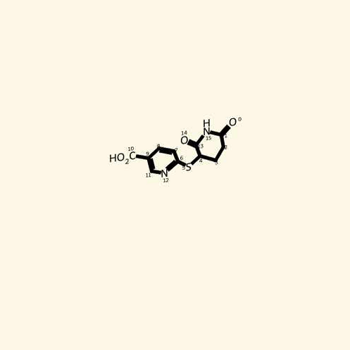 O=C1CCC(Sc2ccc(C(=O)O)cn2)C(=O)N1